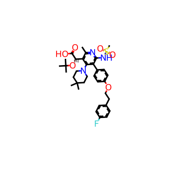 Cc1nc(NS(C)(=O)=O)c(-c2ccc(OCCc3ccc(F)cc3)cc2)c(N2CCC(C)(C)CC2)c1[C@H](OC(C)(C)C)C(=O)O